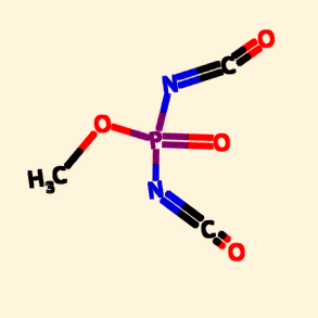 COP(=O)(N=C=O)N=C=O